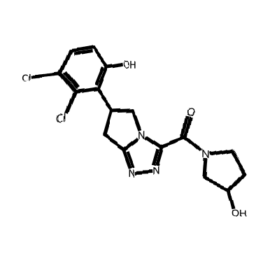 O=C(c1nnc2n1CC(c1c(O)ccc(Cl)c1Cl)C2)N1CCC(O)C1